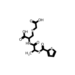 CC(SC(=O)c1cccs1)C(=O)NC(CSCC(=O)O)C(=O)O